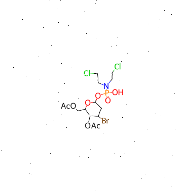 CC(=O)OCC1OC(OP(=O)(O)N(CCCl)CCCl)CC(Br)C1OC(C)=O